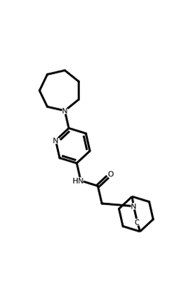 O=C(CN1CC2CCC1CC2)Nc1ccc(N2CCCCCC2)nc1